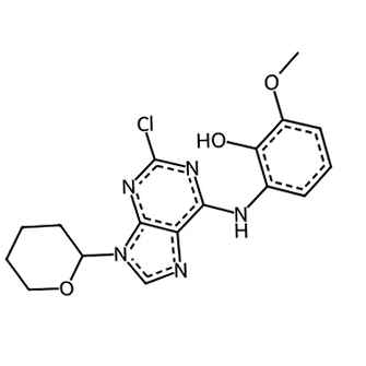 COc1cccc(Nc2nc(Cl)nc3c2ncn3C2CCCCO2)c1O